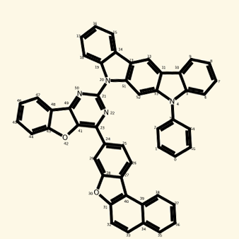 c1ccc(-n2c3ccccc3c3cc4c5ccccc5n(-c5nc(-c6ccc7c(c6)oc6ccc8ccccc8c67)c6oc7ccccc7c6n5)c4cc32)cc1